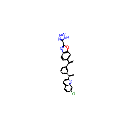 C=C(c1cccc(C(=C)c2ccc3ccc(Cl)cc3n2)c1)c1ccc2nc(-c3nnn[nH]3)oc2c1